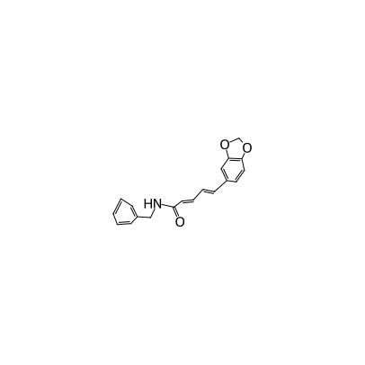 O=C(/C=C/C=Cc1ccc2c(c1)OCO2)NCc1ccccc1